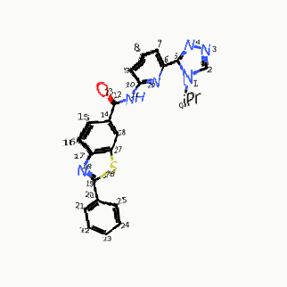 CC(C)n1cnnc1-c1cccc(NC(=O)c2ccc3nc(-c4ccccc4)sc3c2)n1